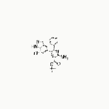 CC(C)(C)OC(=O)c1nc(-c2cc(Cl)c3[nH]ncc3c2)c(-c2ccccc2)nc1N